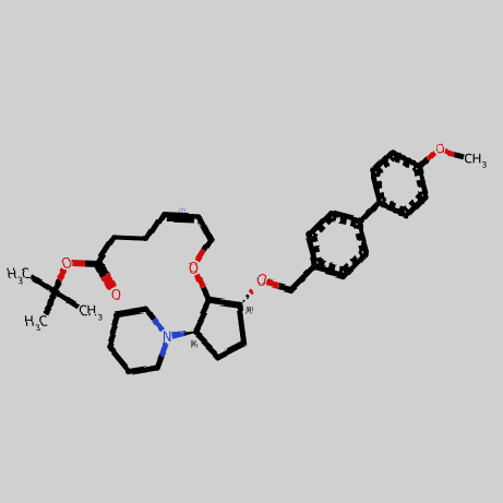 COc1ccc(-c2ccc(CO[C@@H]3CC[C@@H](N4CCCCC4)C3OC/C=C\CCC(=O)OC(C)(C)C)cc2)cc1